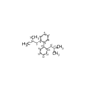 CC(C)Cc1c[c]ccc1-c1ccccc1CC(C)C